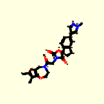 Cc1sc2c(c1C)OCCN(C(=O)CN1C(=O)O[C@@]3(CCc4cc(-c5cnn(C)c5)ccc43)C1=O)C2